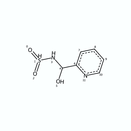 O=[SH](=O)NC(O)c1ccccn1